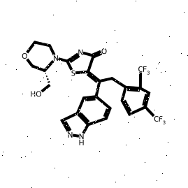 O=C1N=C(N2CCOC[C@H]2CO)SC1=C(Cc1ccc(C(F)(F)F)cc1C(F)(F)F)c1ccc2[nH]ncc2c1